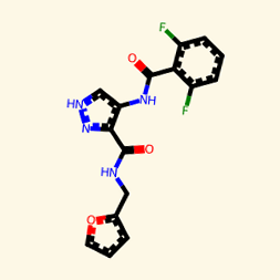 O=C(NCc1ccco1)c1n[nH]cc1NC(=O)c1c(F)cccc1F